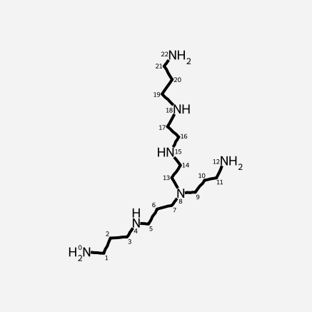 NCCCNCCCN(CCCN)CCNCCNCCCN